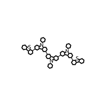 c1ccc(-n2c3ccc(-c4ccc5c(c4)c4cc(-c6cccc7c6sc6ccccc67)ccc4n5-c4ccccc4)cc3c3cc(-c4ccc5c(c4)c4cc(-c6cccc7c6sc6ccccc67)ccc4n5-c4ccccc4)ccc32)cc1